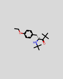 CCOc1ccc(C[C@@H](NC(C)(C)C)C(=O)C(C)(C)C)cc1